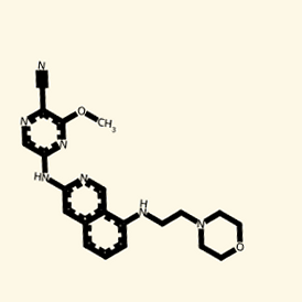 COc1nc(Nc2cc3cccc(NCCN4CCOCC4)c3cn2)cnc1C#N